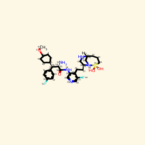 COC1CCC([C@H](c2ccc(F)cc2)[C@H](N)C(=O)Nc2cncc(F)c2CC[C@H]2CN[C@@H]3CCCS(O)(O)N2C3)CC1